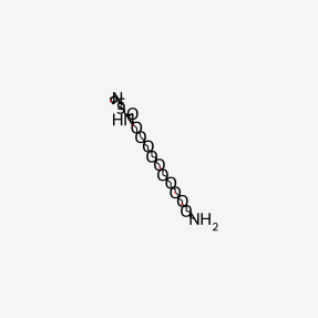 NCCOCCOCCOCCOCCOCCOCCOCCOCCOCCOCCNC(=O)CCSSc1ccccn1